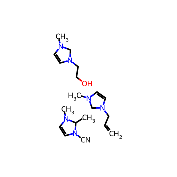 C=CCN1C=CN(C)C1.CC1N(C)C=CN1C#N.CN1C=CN(CCO)C1